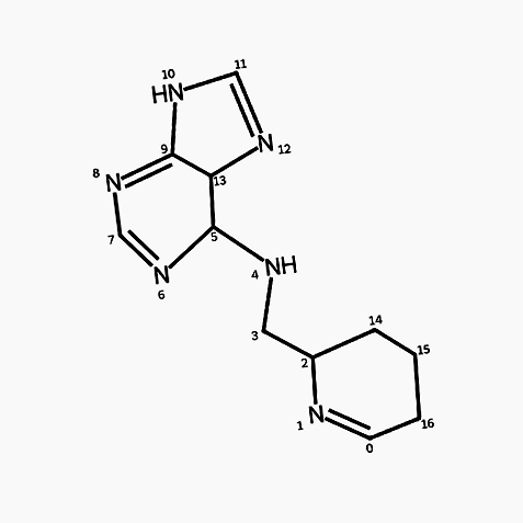 C1=NC(CNC2N=CN=C3NC=NC32)CCC1